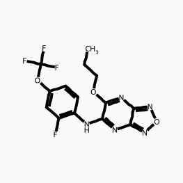 CCCOc1nc2nonc2nc1Nc1ccc(OC(F)(F)F)cc1F